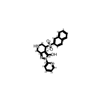 O=S(=O)(c1ccc2ccccc2c1)C1CNCc2nn(-c3ccccn3)c(O)c21